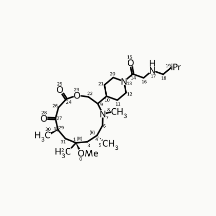 CO[C@]1(C)C[C@@H](C)CN(C)C(C2CCN(C(=O)CNCC(C)C)CC2)COC(=O)CC(=O)[C@H](C)C1